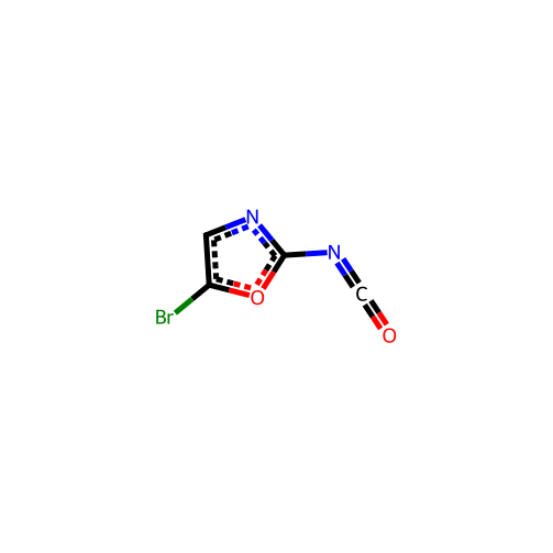 O=C=Nc1ncc(Br)o1